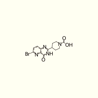 O=C(O)N1CCC(c2nc3ccc(Br)nc3c(=O)[nH]2)CC1